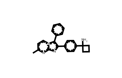 Cc1ccn2c(-c3ccccc3)c(-c3ccc(C4(N)CCC4)cc3)nc2n1